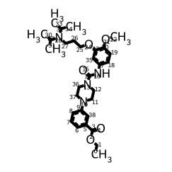 CCOC(=O)c1cccc(N2CCN(C(=O)Nc3ccc(OC)c(OCCCN(C(C)C)C(C)C)c3)CC2)c1